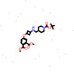 COC(=O)c1ccc(OC2CC(NCC3CCN(C(=O)OC(C)(C)C)CC3)C2)cc1C(=O)OC